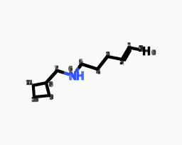 [2H]/C=C/CCCNCC1CCC1